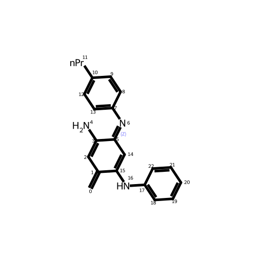 C=C1C=C(N)/C(=N\c2ccc(CCC)cc2)C=C1Nc1ccccc1